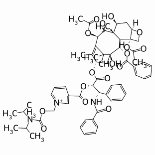 CC(=O)O[C@H]1C(=O)[C@@]2(C)[C@H]([C@H](OC(=O)c3ccccc3)[C@]3(O)C[C@H](OC(=O)[C@@H](OC(=O)c4ccc[n+](COC(=O)N(C(C)C)C(C)C)c4)[C@@H](NC(=O)c4ccccc4)c4ccccc4)C(C)=C1C3(C)C)[C@]1(OC(C)=O)CO[C@@H]1C[C@@H]2O